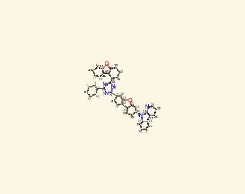 c1ccc(-c2nc(-c3ccc4c(c3)oc3cc(-n5c6ccccc6c6cccnc65)ccc34)nc(-c3cccc4oc5ccccc5c34)n2)cc1